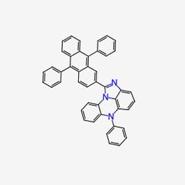 c1ccc(-c2c3ccccc3c(-c3ccccc3)c3cc(-c4nc5cccc6c5n4-c4ccccc4N6c4ccccc4)ccc23)cc1